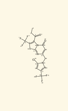 CCC(=O)c1c(C(F)(F)F)sc2nc(Cn3nc(C(F)(F)F)cc3Cl)cc(=O)n12